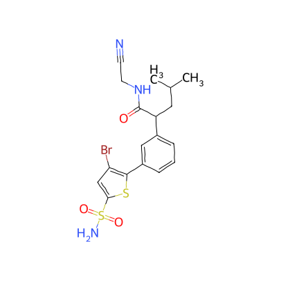 CC(C)CC(C(=O)NCC#N)c1cccc(-c2sc(S(N)(=O)=O)cc2Br)c1